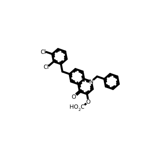 O=C(O)Oc1cn(Cc2ccccc2)c2ccc(Cc3cccc(Cl)c3Cl)cc2c1=O